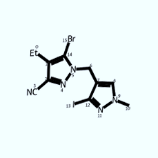 CCc1c(C#N)nn(Cc2cn(C)nc2I)c1Br